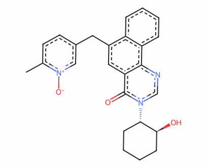 Cc1ccc(Cc2cc3c(=O)n([C@H]4CCCC[C@@H]4O)cnc3c3ccccc23)c[n+]1[O-]